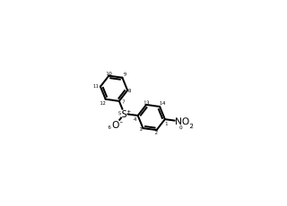 O=[N+]([O-])c1ccc([S+]([O-])c2ccccc2)cc1